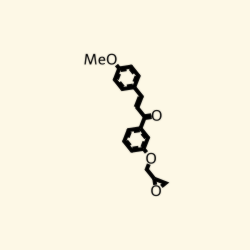 COc1ccc(C=CC(=O)c2cccc(OCC3CO3)c2)cc1